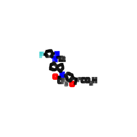 CCc1nc2ccc(F)cc2n1-c1cccc2c1CCC2N(C(=O)C(F)(F)F)c1ccc2c(c1)OC[C@H]2CC(=O)O